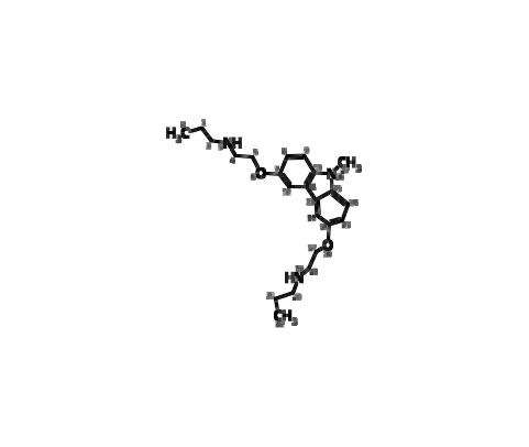 CCCNCCOc1ccc2c(c1)c1cc(OCCNCCC)ccc1n2C